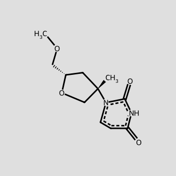 COC[C@@H]1C[C@](C)(n2ccc(=O)[nH]c2=O)CO1